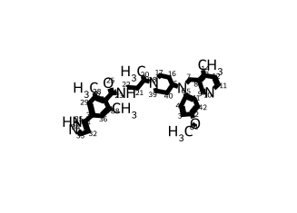 COc1ccc(N(Cc2cnccc2C)C2CCN(C(C)CCNC(=O)c3c(C)cc(-c4ccn[nH]4)cc3C)CC2)cc1